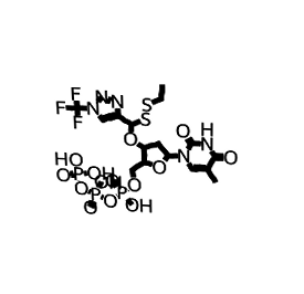 CCSSC(OC1CC(n2cc(C)c(=O)[nH]c2=O)OC1COP(=O)(O)OP(=O)(O)OP(=O)(O)O)c1cn(C(F)(F)F)nn1